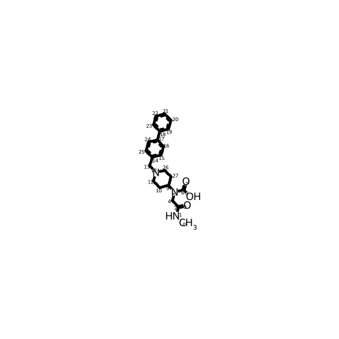 CNC(=O)CN(C(=O)O)C1CCN(Cc2ccc(-c3ccccc3)cc2)CC1